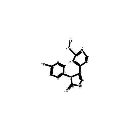 CCSc1nccc(-c2c[nH]c(=O)n2-c2ccc(F)cc2)n1